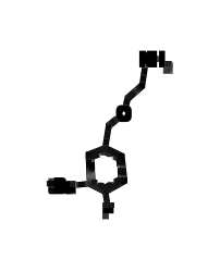 CC(C)(C)c1cc(COCCN)ccc1F